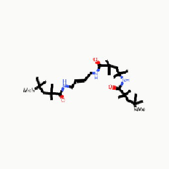 CNC(C)(C)CC(C)(C)C(=O)NC/C=C/CNC(=O)C(C)(C)CC(C)(C)NC(=O)C(C)(C)CC(C)(C)NC